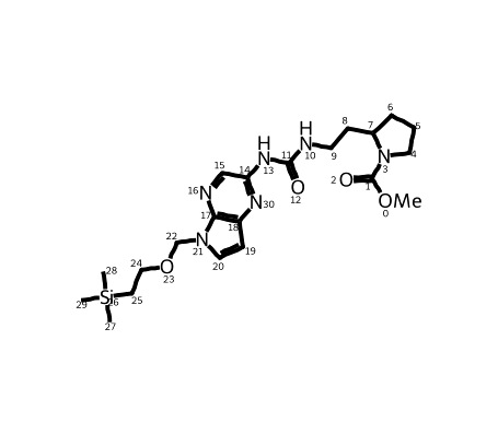 COC(=O)N1CCCC1CCNC(=O)Nc1cnc2c(ccn2COCC[Si](C)(C)C)n1